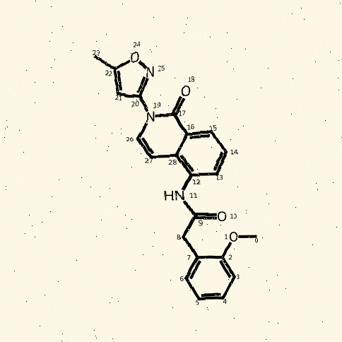 COc1ccccc1CC(=O)Nc1cccc2c(=O)n(-c3cc(C)on3)ccc12